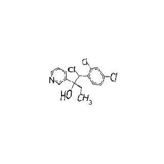 CCC(O)(c1cccnc1)C(Cl)c1ccc(Cl)cc1Cl